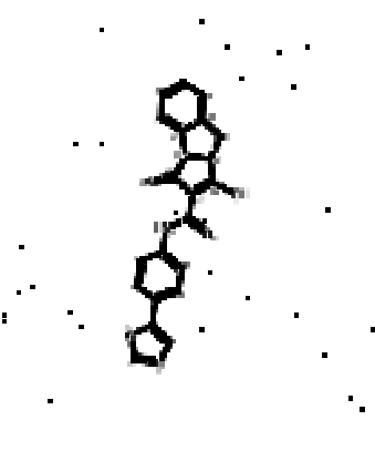 O=C(Nc1ccc(-c2cnco2)cc1)C1=C(O)C2Cc3ccccc3N2C1=O